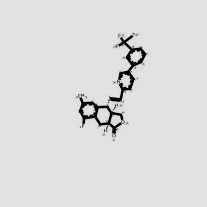 Cc1cc(F)c2c(c1)[C@H](/C=C/c1ccc(-c3cccc(C(F)(F)F)c3)cn1)[C@H]1COC(=O)[C@H]1C2